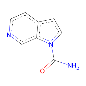 NC(=O)n1ccc2ccncc21